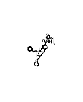 Nc1cscc1NC(=O)c1ccc(CN(CCCCN2CCOCC2)C(=O)NCCc2ccccc2)cn1